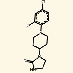 O=C1NCCN1C1CCN(c2ccc(Cl)cc2F)CC1